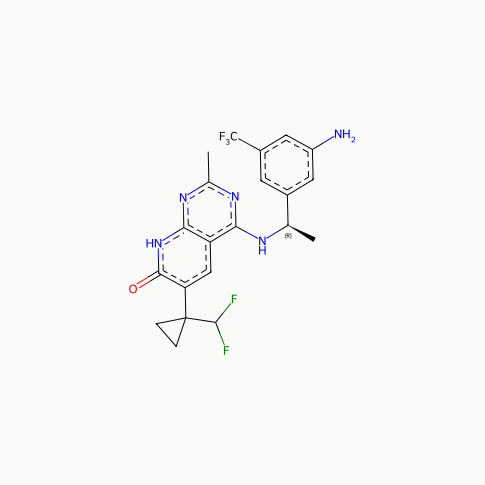 Cc1nc(N[C@H](C)c2cc(N)cc(C(F)(F)F)c2)c2cc(C3(C(F)F)CC3)c(=O)[nH]c2n1